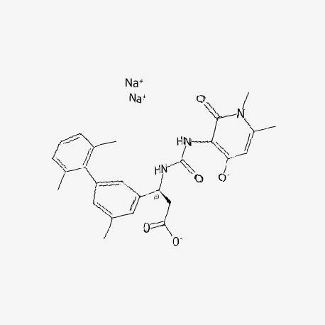 Cc1cc(-c2c(C)cccc2C)cc([C@H](CC(=O)[O-])NC(=O)Nc2c([O-])cc(C)n(C)c2=O)c1.[Na+].[Na+]